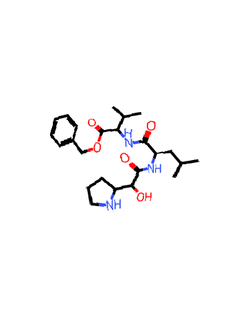 CC(C)C[C@@H](NC(=O)C(O)C1CCCN1)C(=O)NC(C(=O)OCc1ccccc1)C(C)C